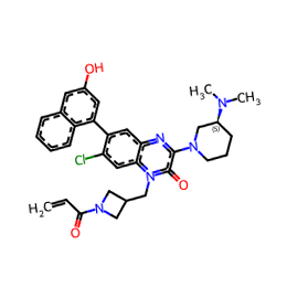 C=CC(=O)N1CC(Cn2c(=O)c(N3CCC[C@H](N(C)C)C3)nc3cc(-c4cc(O)cc5ccccc45)c(Cl)cc32)C1